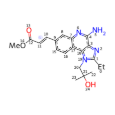 CCc1nc2c(N)nc3cc(/C=C/C(=O)OC)ccc3c2n1CC(C)(C)O